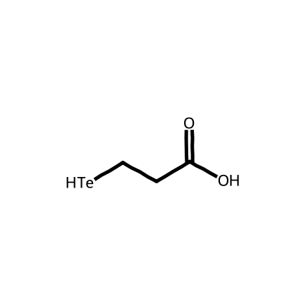 O=C(O)CC[TeH]